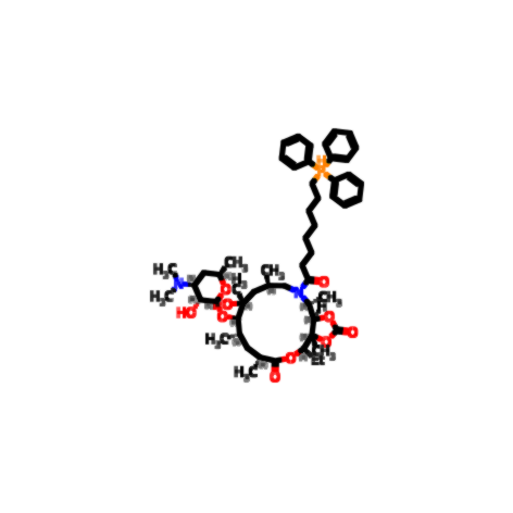 CC[C@H]1OC(=O)[C@H](C)C[C@H](C)[C@@H](O[C@@H]2O[C@H](C)C[C@H](N(C)C)[C@H]2O)[C@](C)(O)C[C@@H](C)CN(C(=O)CCCCCCC[PH](c2ccccc2)(c2ccccc2)c2ccccc2)[C@H](C)[C@H]2OC(=O)O[C@@]21C